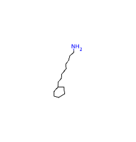 NCCCCCCCCC1CCCCC1